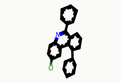 Clc1ccc2nc(-c3ccccc3)c3cccc(-c4ccccc4)c3c2c1